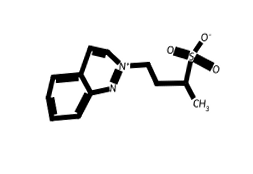 CC(CC[n+]1ccc2ccccc2n1)S(=O)(=O)[O-]